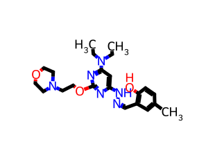 CCN(CC)c1cc(N/N=C\c2cc(C)ccc2O)nc(OCCN2CCOCC2)n1